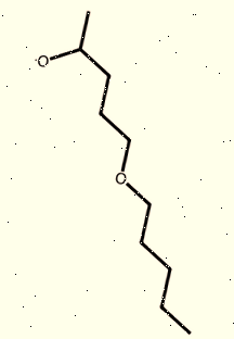 CCCCCOCCCC(C)[O]